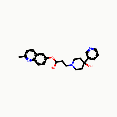 Cc1ccc2cc(OC(O)CCN3CCC(O)(c4cccnc4)CC3)ccc2n1